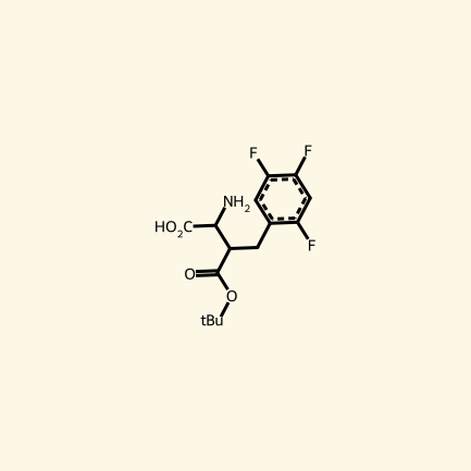 CC(C)(C)OC(=O)C(Cc1cc(F)c(F)cc1F)C(N)C(=O)O